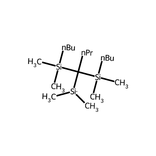 CCCC[Si](C)(C)C(CCC)([Si](C)C)[Si](C)(C)CCCC